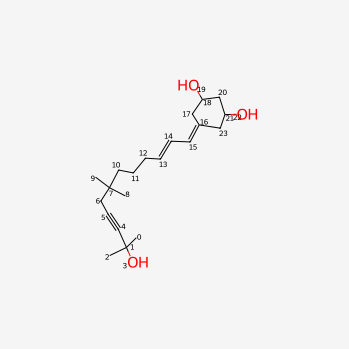 CC(C)(O)C#CCC(C)(C)CCCC=CC=C1CC(O)CC(O)C1